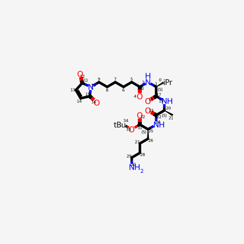 CC(C)[C@H](NC(=O)CCCCCN1C(=O)C=CC1=O)C(=O)N[C@@H](C)C(=O)N[C@@H](CCCCN)C(=O)OC(C)(C)C